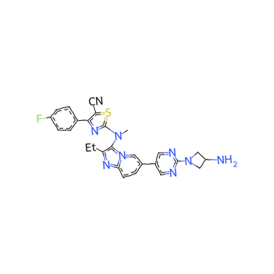 CCc1nc2ccc(-c3cnc(N4CC(N)C4)nc3)cn2c1N(C)c1nc(-c2ccc(F)cc2)c(C#N)s1